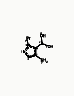 CC(C)n1ncc(N)c1B(O)O